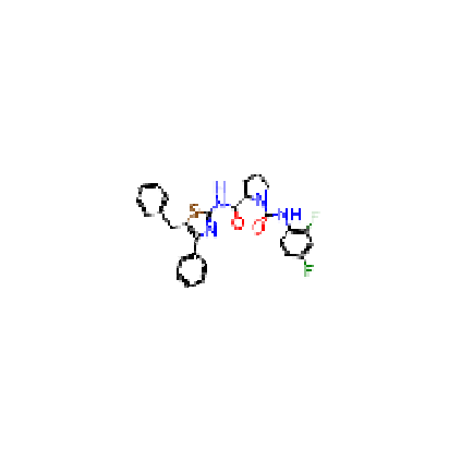 O=C(Nc1nc(-c2ccccc2)c(Cc2ccccc2)s1)[C@@H]1CCCN1C(=O)Nc1ccc(F)cc1F